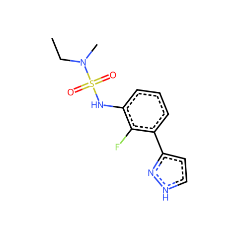 CCN(C)S(=O)(=O)Nc1cccc(-c2cc[nH]n2)c1F